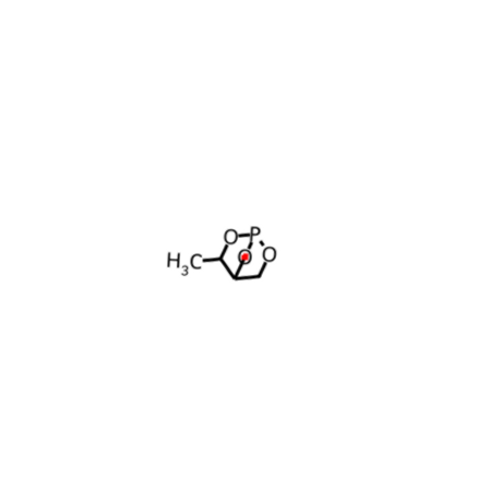 CC1OP2OCC1CO2